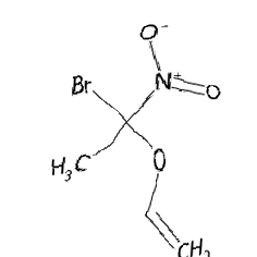 C=COC(C)(Br)[N+](=O)[O-]